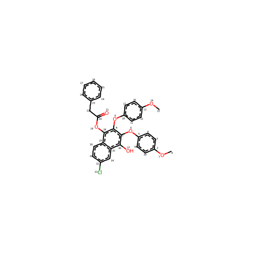 COc1ccc(Oc2c(Oc3ccc(OC)cc3)c(OC(=O)Cc3ccccc3)c3ccc(Cl)cc3c2O)cc1